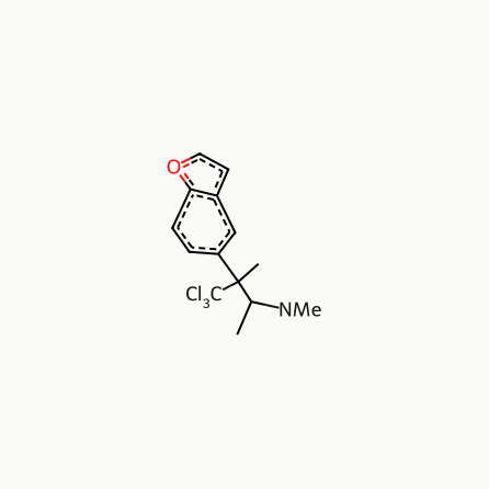 CNC(C)C(C)(c1ccc2occc2c1)C(Cl)(Cl)Cl